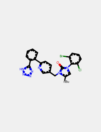 CCCCc1cn(-c2c(Cl)cccc2Br)c(=O)n1Cc1ccc(-c2ccccc2-c2nnn[nH]2)nc1